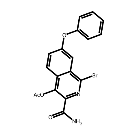 CC(=O)Oc1c(C(N)=O)nc(Br)c2cc(Oc3ccccc3)ccc12